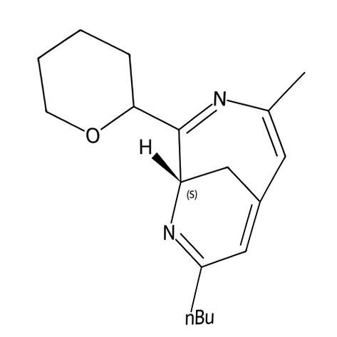 CCCCC1=N[C@H]2CC(=C1)C=C(C)N=C2C1CCCCO1